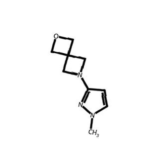 Cn1ccc(N2CC3(COC3)C2)n1